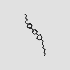 CCCCCCCCC1CCC(C2C=CC(c3ccc(OCCCC)cc3)=CC2)CC1